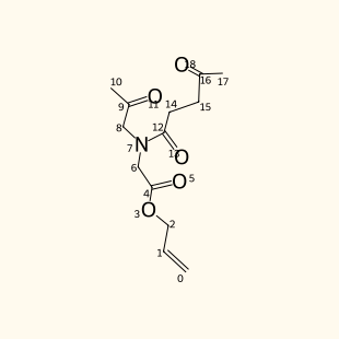 C=CCOC(=O)CN(CC(C)=O)C(=O)CCC(C)=O